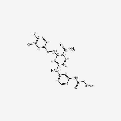 COCC(=O)Nc1cccc([AsH]c2ncc(C(N)=O)c(NCc3ccc(Cl)c(Cl)c3)n2)c1